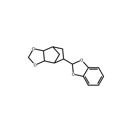 c1ccc2c(c1)OC(C1CC3CC1C1OCOC31)O2